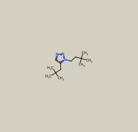 CC(C)(C)CCn1nncc1CC(C)(C)C